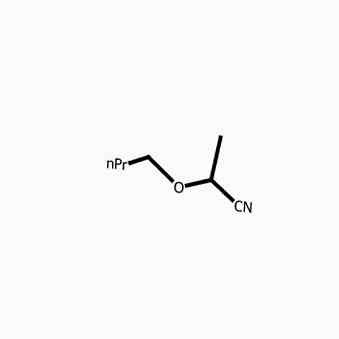 CCCCOC(C)C#N